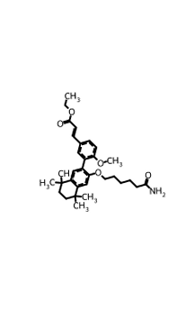 CCOC(=O)C=Cc1ccc(OC)c(-c2cc3c(cc2OCCCCCC(N)=O)C(C)(C)CCC3(C)C)c1